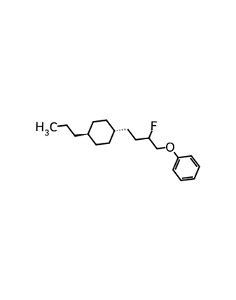 CCC[C@H]1CC[C@H](CCC(F)COc2ccccc2)CC1